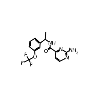 CC(NC(=O)c1ccnc(N)n1)c1cccc(OC(F)(F)F)c1